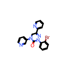 O=C1N(c2cccnc2)CC(c2ccccn2)=NN1c1ccccc1Br